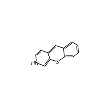 C1=CC2=Cc3ccccc3SC2=CN1